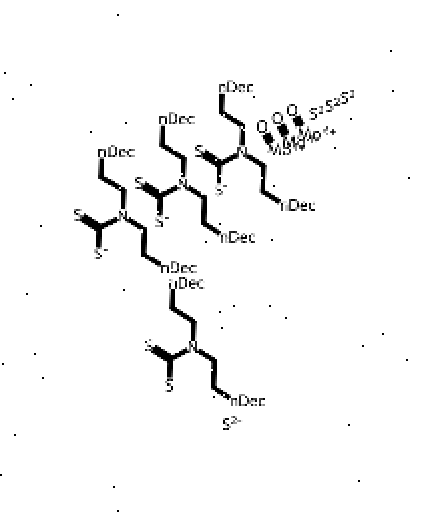 CCCCCCCCCCCCN(CCCCCCCCCCCC)C(=S)[S-].CCCCCCCCCCCCN(CCCCCCCCCCCC)C(=S)[S-].CCCCCCCCCCCCN(CCCCCCCCCCCC)C(=S)[S-].CCCCCCCCCCCCN(CCCCCCCCCCCC)C(=S)[S-].[O]=[Mo+4].[O]=[Mo+4].[O]=[Mo+4].[S-2].[S-2].[S-2].[S-2]